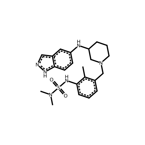 Cc1c(CN2CCCC(Nc3ccc4[nH]ncc4c3)C2)cccc1NS(=O)(=O)N(C)C